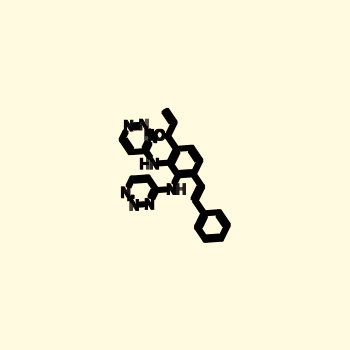 C=CC(O)c1ccc(C=Cc2ccccc2)c(Nc2ccnnn2)c1Nc1ccnnn1